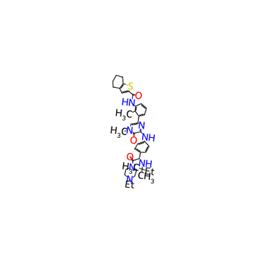 CCN1CCN(C(=O)C(NC(C)(C)CC)c2ccc(Nc3nc(-c4cccc(NC(=O)c5cc6c(s5)CCCC6)c4C)cn(C)c3=O)cc2)CC1